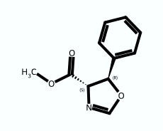 COC(=O)[C@H]1N=CO[C@@H]1c1ccccc1